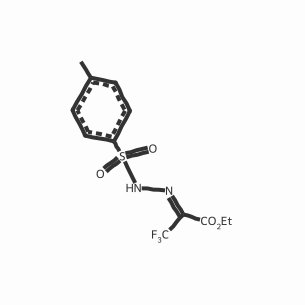 CCOC(=O)C(=NNS(=O)(=O)c1ccc(C)cc1)C(F)(F)F